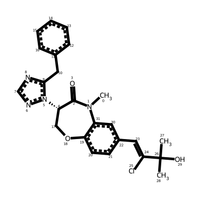 CN1C(=O)[C@@H](n2ncnc2Cc2ccccc2)COc2ccc(/C=C(\Cl)C(C)(C)O)cc21